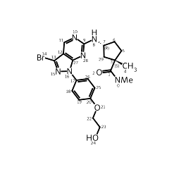 CNC(=O)[C@@]1(C)CC[C@@H](Nc2ncc3c(Br)nn(-c4ccc(OCCO)cc4)c3n2)C1